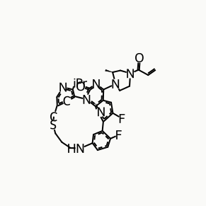 C=CC(=O)N1CCN(c2nc(=O)n3c4nc(c(F)cc24)-c2cc(ccc2F)NCCCSCc2cnc(C(C)C)c-3c2)[C@@H](C)C1